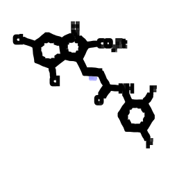 CCOC(=O)c1[nH]c2cc(Cl)cc(Cl)c2c1/C=C/C(=O)Nc1ccc(F)cc1F